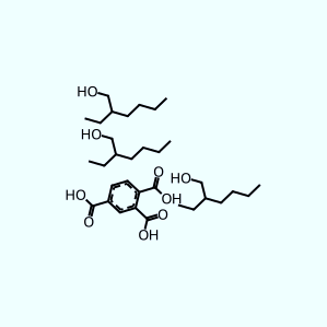 CCCCC(CC)CO.CCCCC(CC)CO.CCCCC(CC)CO.O=C(O)c1ccc(C(=O)O)c(C(=O)O)c1